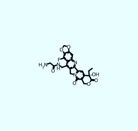 CC[C@@]1(O)C(=O)OCc2c1cc1n(c2=O)Cc2c-1nc1cc3c(c(F)c1c2CNC(=O)CN)OCO3